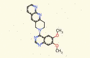 COc1cc2ncnc(N3CCc4nc5ncccc5cc4C3)c2cc1OC